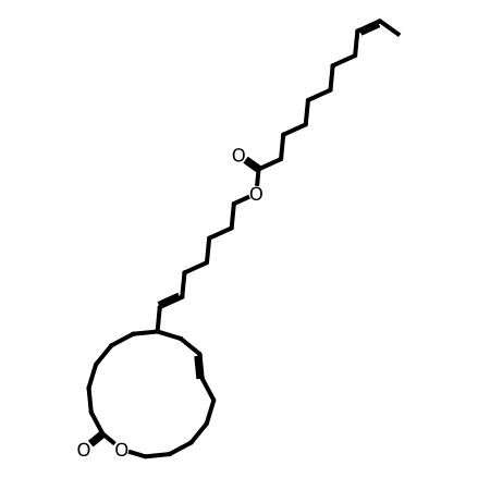 C/C=C\CCCCCCCC(=O)OCCCCC/C=C/C1C/C=C/CCCCCOC(=O)CCCCC1